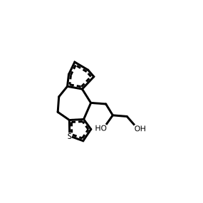 OCC(O)CC1c2ccccc2CCc2sccc21